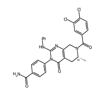 CC(C)Nc1nc2c(c(=O)n1-c1ccc(C(N)=O)cc1)C[C@@H](C)N(C(=O)c1ccc(Cl)c(Cl)c1)C2